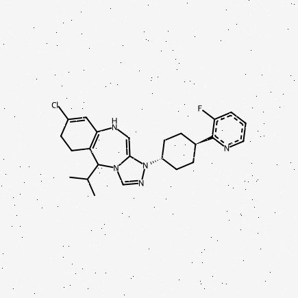 CC(C)C1C2=C(C=C(Cl)CC2)NC=C2N1C=NN2[C@H]1CC[C@H](c2ncccc2F)CC1